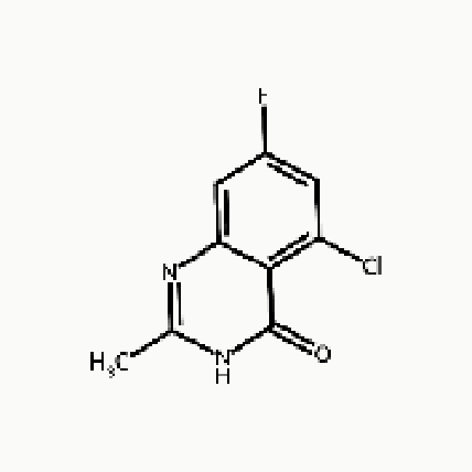 Cc1nc2cc(F)cc(Cl)c2c(=O)[nH]1